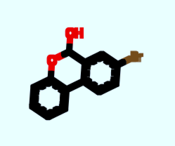 OC1Oc2ccccc2-c2ccc(Br)cc21